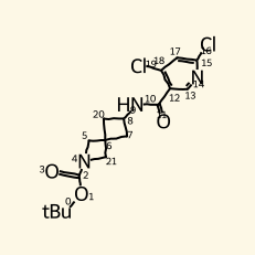 CC(C)(C)OC(=O)N1CC2(CC(NC(=O)c3cnc(Cl)cc3Cl)C2)C1